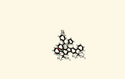 CC(C)(C)c1cc2c(cc1-c1ccccc1)[CH]([Zr+2]([C]1=CC=CC1)=[C](c1ccccc1)c1ccccc1)c1cc(-c3ccccc3)c(C(C)(C)C)cc1-2.[Cl-].[Cl-]